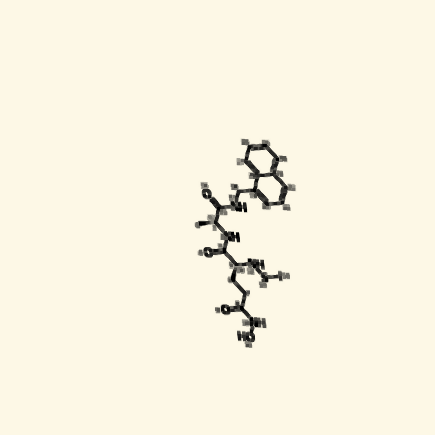 C[C@H](NC(=O)[C@H](CCC(=O)NO)NSI)C(=O)NCc1cccc2ccccc12